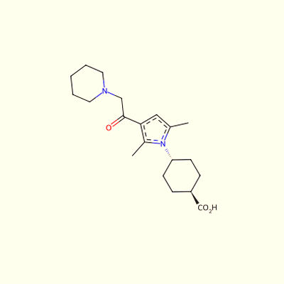 Cc1cc(C(=O)CN2CCCCC2)c(C)n1[C@H]1CC[C@H](C(=O)O)CC1